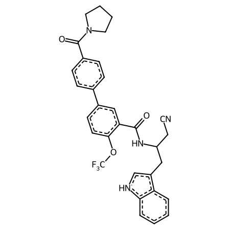 N#CCC(Cc1c[nH]c2ccccc12)NC(=O)c1cc(-c2ccc(C(=O)N3CCCC3)cc2)ccc1OC(F)(F)F